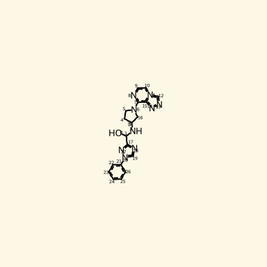 OC(N[C@H]1CCN(c2nccn3cnnc23)C1)c1ncn(-c2ccccc2)n1